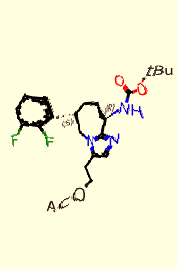 CC(=O)OCCc1cnc2n1C[C@H](c1cccc(F)c1F)CC[C@H]2NC(=O)OC(C)(C)C